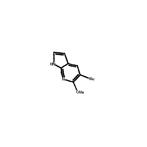 COc1nc2[nH]ccc2cc1C(C)(C)C